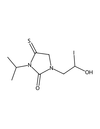 CC(C)N1C(=O)N(CC(O)I)CC1=S